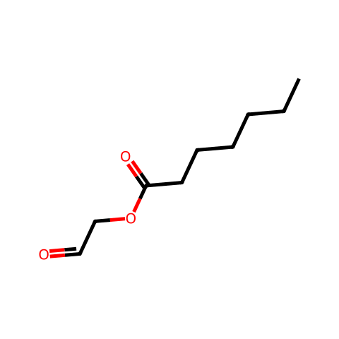 CCCCCCC(=O)OCC=O